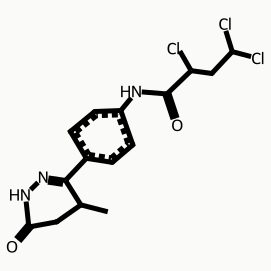 CC1CC(=O)NN=C1c1ccc(NC(=O)C(Cl)CC(Cl)Cl)cc1